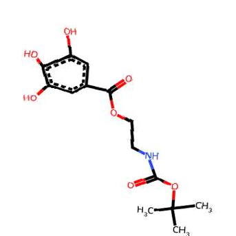 CC(C)(C)OC(=O)NCCOC(=O)c1cc(O)c(O)c(O)c1